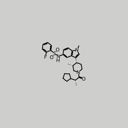 C[C@@H](C(=O)N1CC[C@@H](c2cn(C)c3ccc(NS(=O)(=O)c4ccccc4F)cc23)[C@@H](C)C1)C1CCCC1